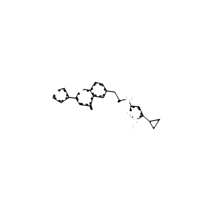 O=C(Cc1ccc2oc(-c3ccoc3)cc(=O)c2c1)Nc1cc(C2CC2)[nH]n1